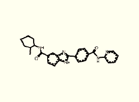 CC1CCCCC1NC(=O)c1ccc2[nH]c(-c3ccc(C(=O)Nc4ccccn4)cc3)nc2c1